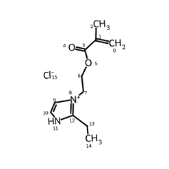 C=C(C)C(=O)OCC[n+]1cc[nH]c1CC.[Cl-]